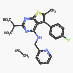 CCCC.Cc1sc2nc(C(C(=O)O)C(=O)O)nc(NCc3ccccn3)c2c1-c1ccc(F)cc1